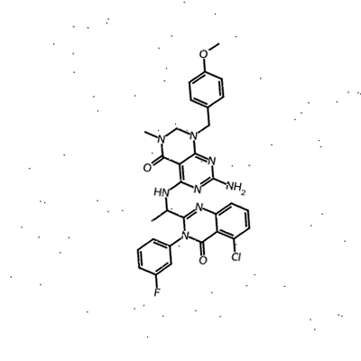 COc1ccc(CN2CN(C)C(=O)c3c(NC(C)c4nc5cccc(Cl)c5c(=O)n4-c4cccc(F)c4)nc(N)nc32)cc1